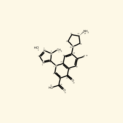 Cl.Cn1ncnc1-n1cc(C(=O)O)c(=O)c2cc(F)c(N3CC[C@H](N)C3)cc21